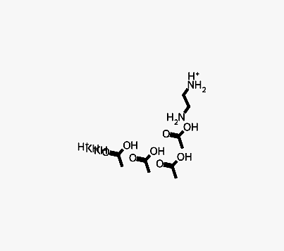 CC(=O)O.CC(=O)O.CC(=O)O.CC(=O)O.NCCN.[H+].[H+].[KH].[KH]